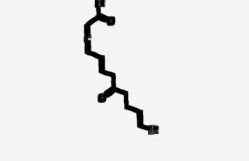 CCC=CCCC(=O)CC=CC=C=CC(=O)CC